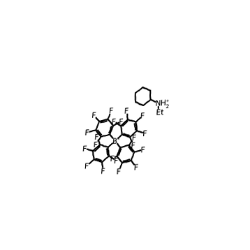 CC[NH2+]C1CCCCC1.Fc1c(F)c(F)c([B-](c2c(F)c(F)c(F)c(F)c2F)(c2c(F)c(F)c(F)c(F)c2F)c2c(F)c(F)c(F)c(F)c2F)c(F)c1F